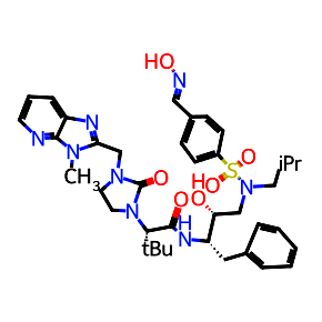 CC(C)CN(C[C@@H](O)[C@H](Cc1ccccc1)NC(=O)[C@@H](N1CCN(Cc2nc3cccnc3n2C)C1=O)C(C)(C)C)S(=O)(=O)c1ccc(C=NO)cc1